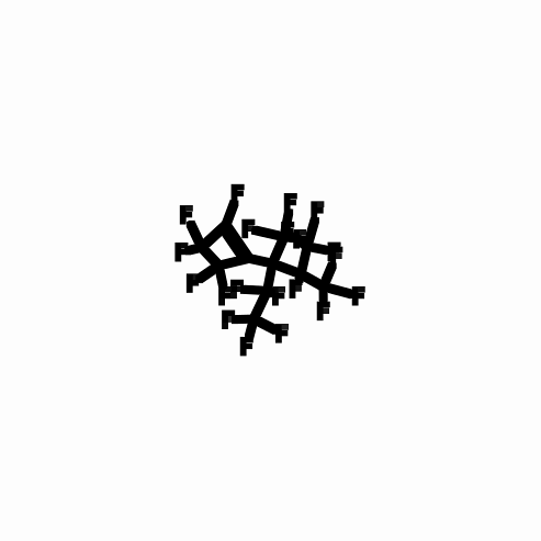 FC1=C(C(C(F)(F)F)(C(F)(F)C(F)(F)F)C(F)(C(F)(F)F)C(F)(F)F)C(F)(F)C1(F)F